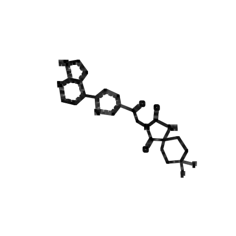 O=C(CN1C(=O)NC2(CCC(F)(F)CC2)C1=O)c1ccc(-c2ccnc3[nH]ccc23)nc1